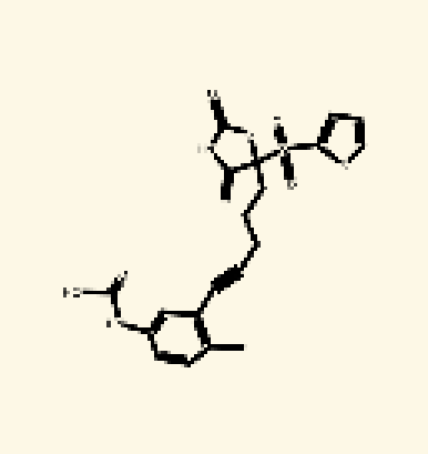 Cc1ccc(NC(=O)O)cc1C#CCCCC1(S(=O)(=O)c2cccs2)SC(=O)NC1=O